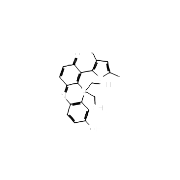 CC[Si]1(CC)C2=C(c3sc(I)cc3I)C(=O)C=CC2=Nc2ccc(O)cc21